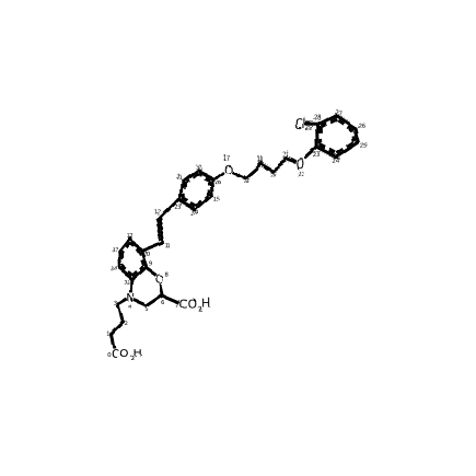 O=C(O)CCCN1CC(C(=O)O)Oc2c(C=Cc3ccc(OCCCCOc4ccccc4Cl)cc3)cccc21